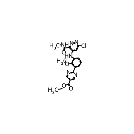 CCOC(=O)c1cnc(-c2cccc(Nc3cc(Cl)nnc3C(=O)NC)c2OC)nc1